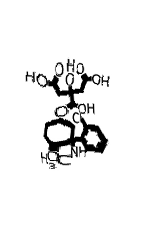 CNC1(c2ccccc2Cl)CCCCC1=O.O=C(O)CC(O)(CC(=O)O)C(=O)O